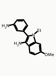 CCn1c(-c2cccc(N)c2)c(N)c2ccc(OC)cc21